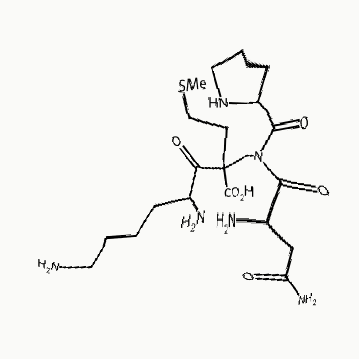 CSCCC(C(=O)O)(C(=O)C(N)CCCCN)N(C(=O)C(N)CC(N)=O)C(=O)C1CCCN1